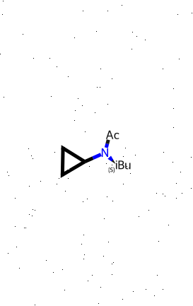 CC[C@H](C)N(C(C)=O)C1CC1